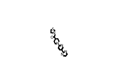 O=C(CN1CCSC1)C1CCN(c2ccc(-c3ncccn3)cn2)CC1